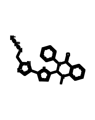 CN1c2ccccc2C(=O)N(c2ccccc2)C1c1ccc(-c2csc(CN=[N+]=[N-])n2)s1